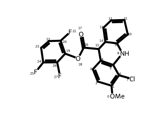 COc1ccc2c(c1Cl)Nc1ccccc1C2C(=O)Oc1c(F)ccc(F)c1F